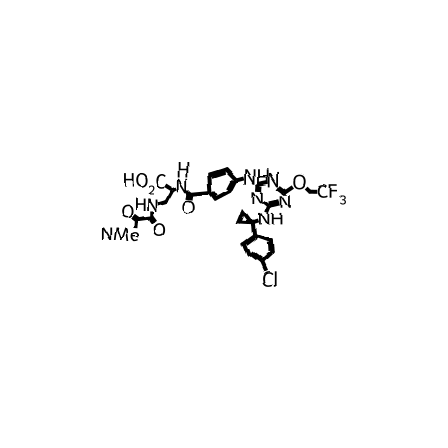 CNC(=O)C(=O)NCC(NC(=O)c1ccc(Nc2nc(NC3(c4ccc(Cl)cc4)CC3)nc(OCC(F)(F)F)n2)cc1)C(=O)O